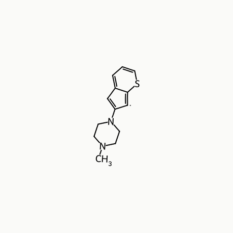 CN1CCN(c2[c]c3scccc-3c2)CC1